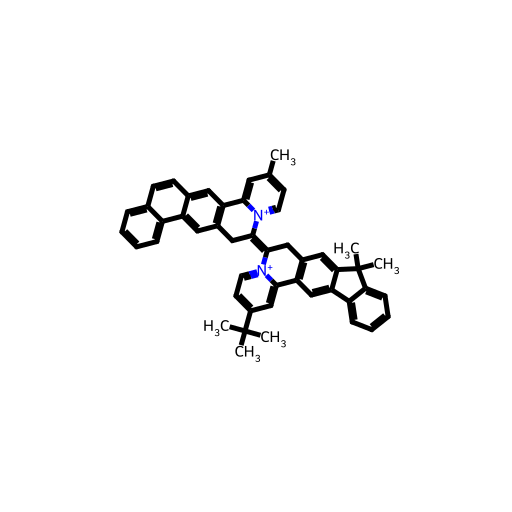 Cc1cc[n+]2c(c1)-c1cc3ccc4ccccc4c3cc1C/C2=C1/Cc2cc3c(cc2-c2cc(C(C)(C)C)cc[n+]21)-c1ccccc1C3(C)C